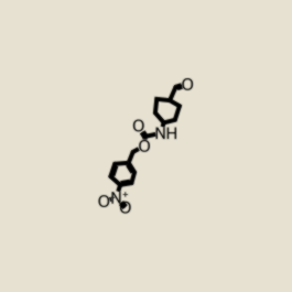 O=CC1CCC(NC(=O)OCc2ccc([N+](=O)[O-])cc2)CC1